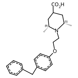 C[C@@H]1CC(C(=O)O)C[C@H](C)N1CCOc1ccc(Cc2ccccc2)cc1